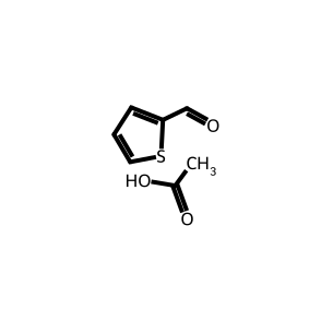 CC(=O)O.O=Cc1cccs1